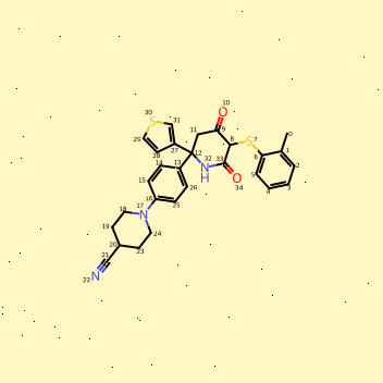 Cc1ccccc1SC1C(=O)CC(c2ccc(N3CCC(C#N)CC3)cc2)(c2ccsc2)NC1=O